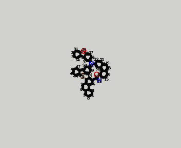 c1ccc2c(c1)ccc1ccc(-c3nc4ccc5ccc6ccc(N(c7ccc8oc9ccccc9c8c7)c7ccc8sc9ccccc9c8c7)cc6c5c4o3)cc12